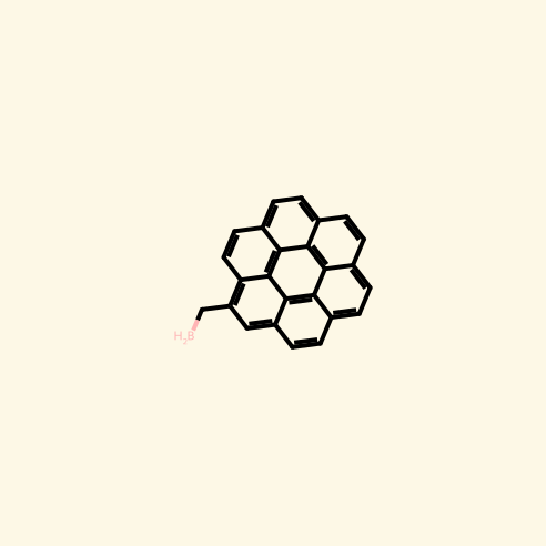 BCc1cc2ccc3ccc4ccc5ccc6ccc1c1c6c5c4c3c21